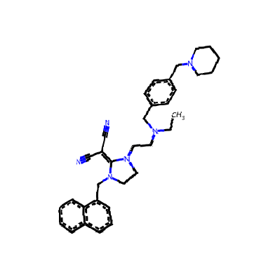 CCN(CCN1CCN(Cc2cccc3ccccc23)C1=C(C#N)C#N)Cc1ccc(CN2CCCCC2)cc1